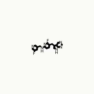 Fc1cncc(CNc2ccc(Cc3c[nH]c4ncncc34)c(F)n2)c1